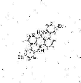 CCc1ccc(Nc2c3ccccc3c(Nc3ccc(CC)cc3)c3ccccc23)cc1